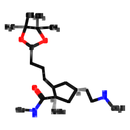 CC(=O)N[C@@]1(C(=O)NC(C)(C)C)C[C@@H](CCNC(=O)O)CC1CCCB1OC(C)(C)C(C)(C)O1